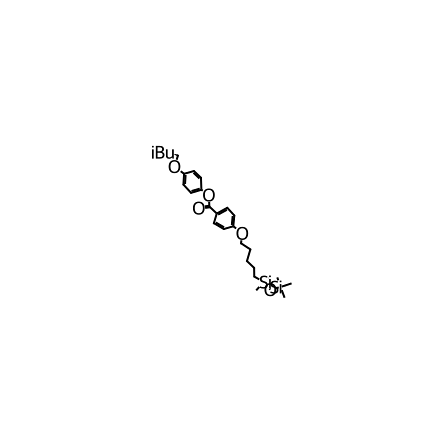 CC[C@H](C)COc1ccc(OC(=O)c2ccc(OCCCCC[Si](C)(C)O[Si](C)(C)C)cc2)cc1